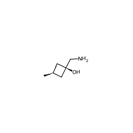 C[C@H]1C[C@](O)(CN)C1